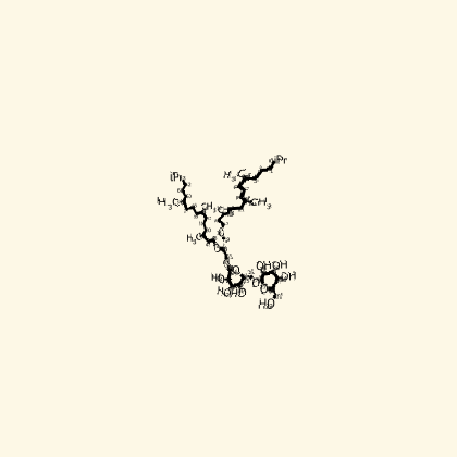 CC(C)CCC[C@@H](C)CCC[C@@H](C)CCC[C@@H](C)CCOC[C@H](CO[C@@H]1O[C@H](CO[C@H]2O[C@H](CO)[C@@H](O)[C@H](O)[C@H]2O)[C@@H](O)[C@H](O)[C@H]1O)OCC[C@H](C)CCC[C@H](C)CCC[C@H](C)CCCC(C)C